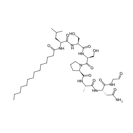 CCCCCCCCCCCCCC(=O)N[C@@H](CC(C)C)C(=O)N[C@@H](CO)C(=O)N[C@@H](CO)C(=O)N1CCC[C@@H]1C(=O)N[C@@H](C)C(=O)N[C@@H](CC(N)=O)C(=O)NCC=O